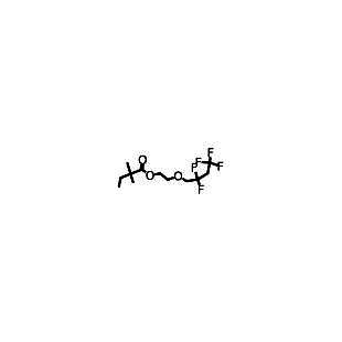 CCC(C)(C)C(=O)OCCOCC(F)(F)CC(F)(F)F